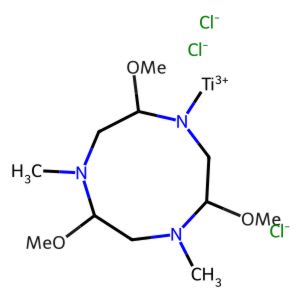 COC1C[N]([Ti+3])C(OC)CN(C)C(OC)CN1C.[Cl-].[Cl-].[Cl-]